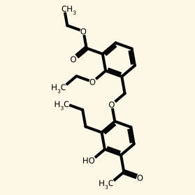 CCCc1c(OCc2cccc(C(=O)OCC)c2OCC)ccc(C(C)=O)c1O